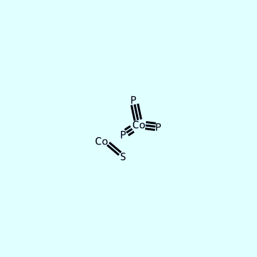 [P]#[Co](#[P])#[P].[S]=[Co]